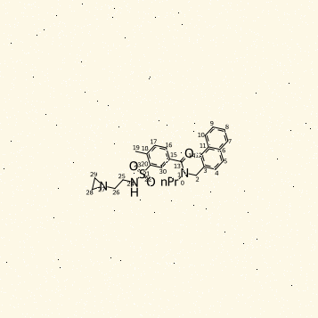 CCCN(Cc1ccc2ccccc2c1)C(=O)c1ccc(C)c(S(=O)(=O)NCCN2CC2)c1